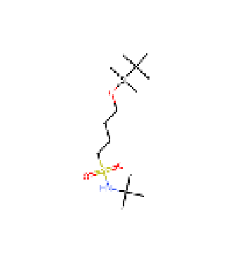 CC(C)(C)NS(=O)(=O)CCCCO[Si](C)(C)C(C)(C)C